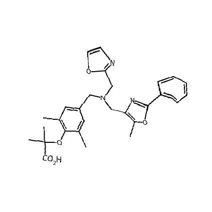 Cc1cc(CN(Cc2ncco2)Cc2nc(-c3ccccc3)oc2C)cc(C)c1OC(C)(C)C(=O)O